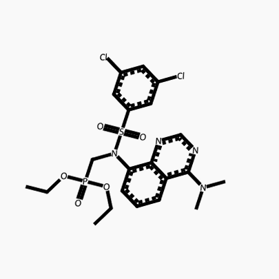 CCOP(=O)(CN(c1cccc2c(N(C)C)ncnc12)S(=O)(=O)c1cc(Cl)cc(Cl)c1)OCC